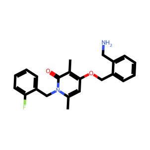 Cc1c(OCc2ccccc2CN)cc(C)n(Cc2ccccc2F)c1=O